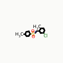 Cc1ccc(S(=O)(=O)/C=C/c2cc(Cl)ccc2C)cc1